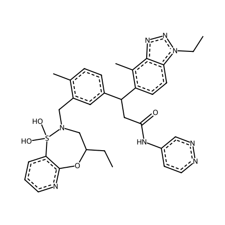 CCC1CN(Cc2cc(C(CC(=O)Nc3ccnnc3)c3ccc4c(nnn4CC)c3C)ccc2C)S(O)(O)c2cccnc2O1